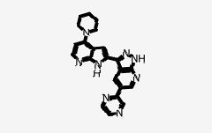 c1cnc(-c2cnc3[nH]nc(-c4cc5c(N6CCCCC6)ccnc5[nH]4)c3c2)cn1